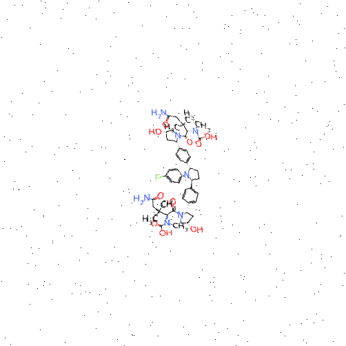 CN(C(=O)O)[C@H](C(=O)N1C[C@@H](O)C[C@H]1c1ccc([C@@H]2CC[C@@H](c3ccc([C@@H]4C[C@H](O)CN4C(=O)[C@@H](N(C)C(=O)O)C(C)(C)CC(N)=O)cc3)N2c2ccc(F)cc2)cc1)C(C)(C)CC(N)=O